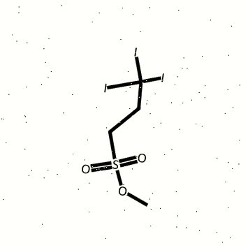 COS(=O)(=O)CCC(I)(I)I